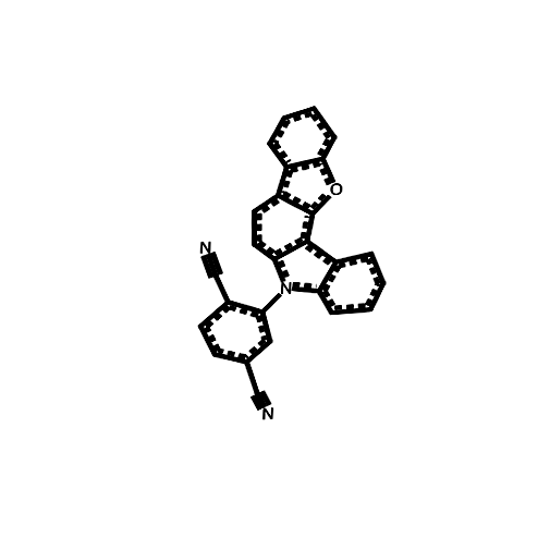 N#Cc1ccc(C#N)c(-n2c3ccccc3c3c4oc5ccccc5c4ccc32)c1